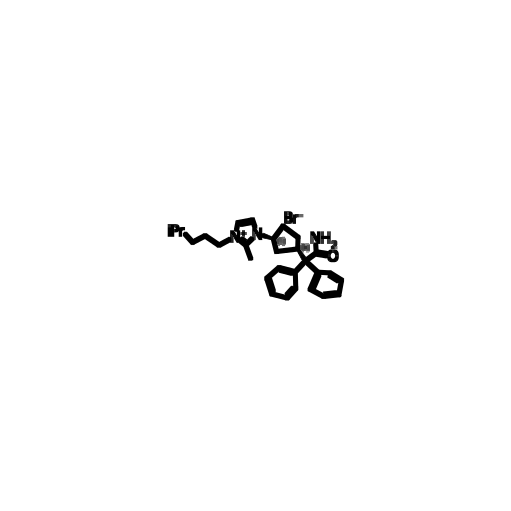 Cc1n([C@H]2CC[C@@H](C(C(N)=O)(c3ccccc3)c3ccccc3)C2)cc[n+]1CCCC(C)C.[Br-]